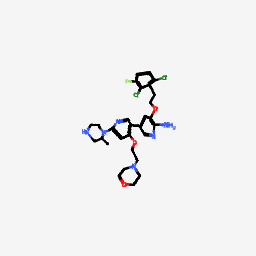 C[C@H]1CNCCN1c1cc(OCCN2CCOCC2)c(-c2cnc(N)c(OCCc3c(Cl)ccc(F)c3Cl)c2)cn1